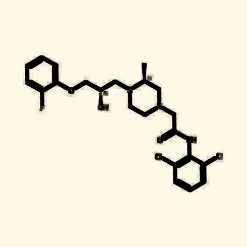 C[C@H]1CN(CC(=O)Nc2c(Cl)cccc2Cl)CCN1C[C@H](O)COc1ccccc1F